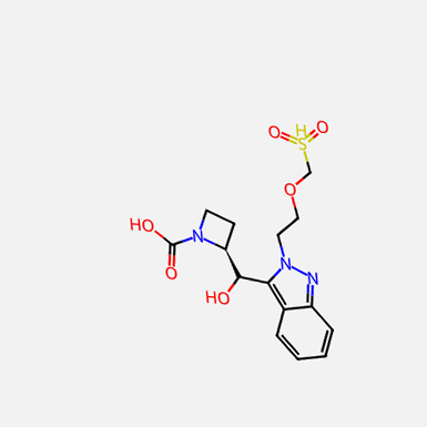 O=C(O)N1CC[C@H]1C(O)c1c2ccccc2nn1CCOC[SH](=O)=O